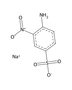 Nc1ccc(S(=O)(=O)[O-])cc1[N+](=O)[O-].[Na+]